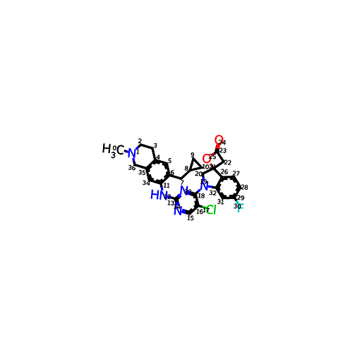 CN1CCc2cc(CC3CC3)c(Nc3ncc(Cl)c(N4CC5(CC(=O)O5)c5ccc(F)cc54)n3)cc2C1